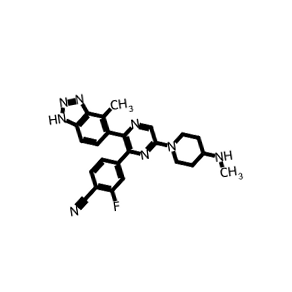 CNC1CCN(c2cnc(-c3ccc4[nH]nnc4c3C)c(-c3ccc(C#N)c(F)c3)n2)CC1